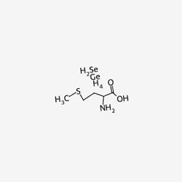 CSCCC(N)C(=O)O.[GeH4].[SeH2]